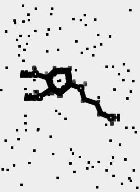 COc1ccc(OCCCO)cc1OC